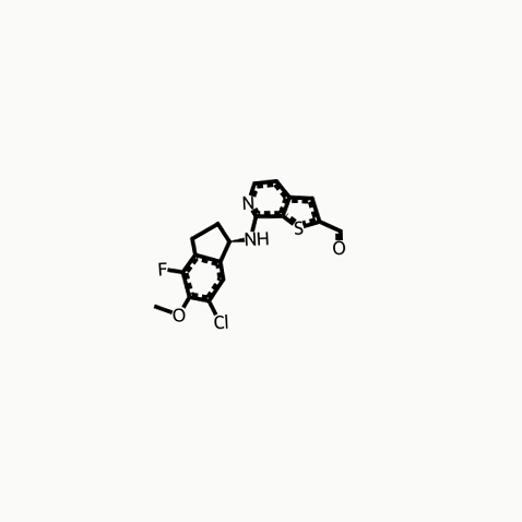 COc1c(Cl)cc2c(c1F)CC[C@H]2Nc1nccc2cc(C=O)sc12